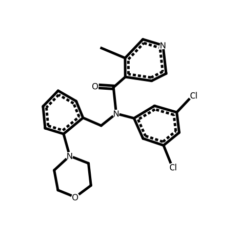 Cc1cnccc1C(=O)N(Cc1ccccc1N1CCOCC1)c1cc(Cl)cc(Cl)c1